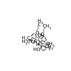 CCCCOc1ccc(C(C)(C)C)cc1C(O)(c1cc(C(C)(C)C)ccc1OCCCC)C(C)N=Cc1cc(C(F)F)ccc1O